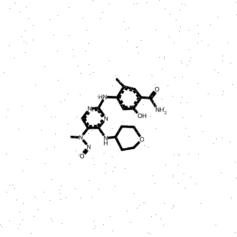 Cc1cc(C(N)=O)c(O)cc1Nc1ncc(N(C)N=O)c(NC2CCOCC2)n1